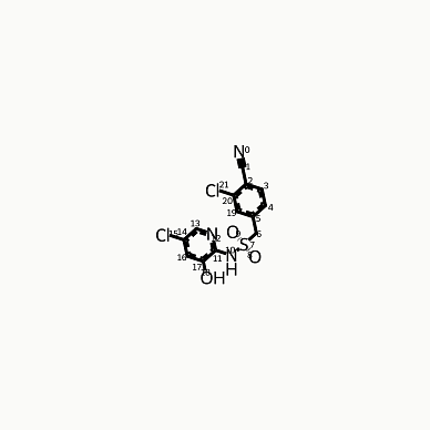 N#Cc1ccc(CS(=O)(=O)Nc2ncc(Cl)cc2O)cc1Cl